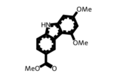 COC(=O)c1ccc2[nH]c3cc(OC)cc(OC)c3c2c1